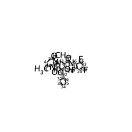 CO[C@@H]1C=C[C@H](C)N2CN1n1cc(C(=O)NCc3c(F)cc(F)cc3F)c(=O)c(OCc3ccccc3)c1C2=O